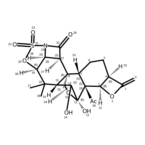 C=C1O[C@@H]2[C@H]1CC[C@H]1[C@@]34CO[C@@](O)([C@@H](O)[C@@H]3C(C)(C)[C@H]3OS(=O)(=O)N5C(=O)[C@@H]4[C@@H]35)[C@@]21C(C)=O